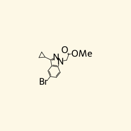 COC(=O)Cn1nc(C2CC2)c2cc(Br)ccc21